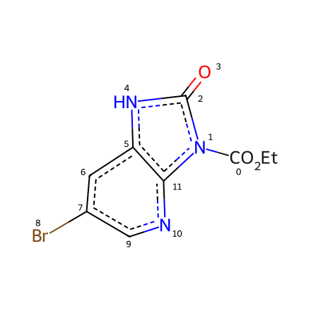 CCOC(=O)n1c(=O)[nH]c2cc(Br)cnc21